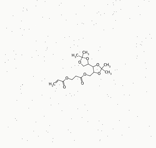 C=CC(=O)OCCC(=O)OCC1OC(C)(C)OC1C1COC(C)(C)O1